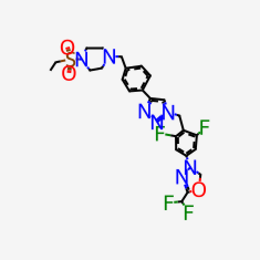 CCS(=O)(=O)N1CCN(Cc2ccc(-c3cn(Cc4c(F)cc(N5COC(C(F)F)=N5)cc4F)nn3)cc2)CC1